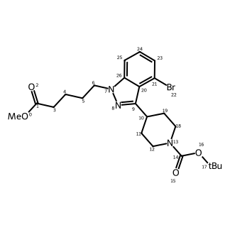 COC(=O)CCCCn1nc(C2CCN(C(=O)OC(C)(C)C)CC2)c2c(Br)cccc21